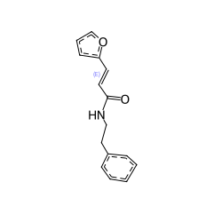 O=C(/C=C/c1ccco1)NCCc1ccccc1